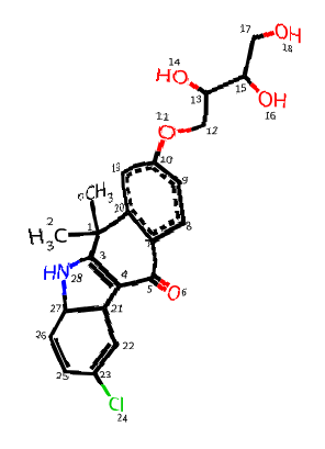 CC1(C)C2=C(C(=O)c3ccc(OCC(O)C(O)CO)cc31)C1C=C(Cl)C=CC1N2